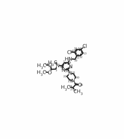 COC(CN(C)c1cc(NCc2ccc(Cl)cc2Cl)nc(N2CCN(C(=O)C(C)C)CC2)n1)OC